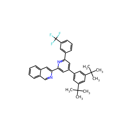 CC(C)(C)c1cc(-c2cc(-c3cccc(C(F)(F)F)c3)nc(-c3cc4ccccc4cn3)c2)cc(C(C)(C)C)c1